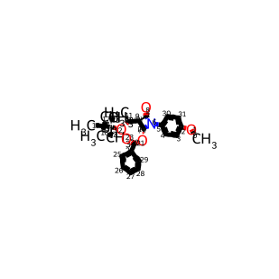 COc1ccc(N2C(=O)[C@H]([C@@H](C)O[Si](C)(C)C(C)(C)C)[C@H]2OC(=O)c2ccccc2)cc1